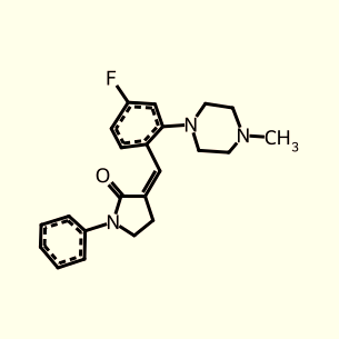 CN1CCN(c2cc(F)ccc2C=C2CCN(c3ccccc3)C2=O)CC1